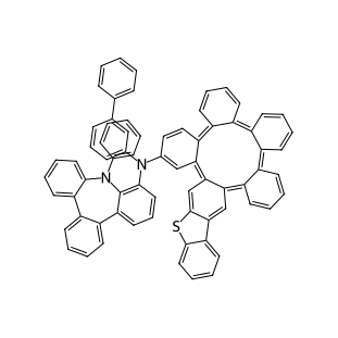 c1ccc(-c2cccc(N(c3ccc4c5ccccc5c5ccccc5c5ccccc5c5cc6c(cc5c4c3)sc3ccccc36)c3cccc4c3N(c3ccccc3)c3ccccc3-c3ccccc3-4)c2)cc1